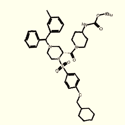 Cc1cccc(C(c2ccccc2)N2CCN(S(=O)(=O)c3ccc(OCC4CCCCC4)cc3)[C@@H](C(=O)N3CCC(NC(=O)OC(C)(C)C)CC3)C2)c1